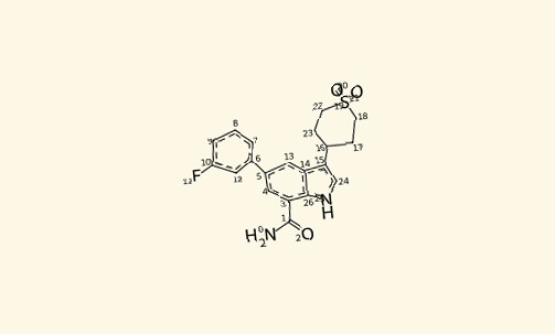 NC(=O)c1cc(-c2cccc(F)c2)cc2c(C3CCS(=O)(=O)CC3)c[nH]c12